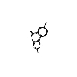 CC(C)c1ccc2c(c1)c(=O)[nH]c1nc(C(C)C)[nH]c12